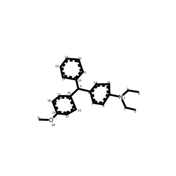 CCN(CC)c1ccc(C(c2ccccc2)c2ccc(OC)cc2)cc1